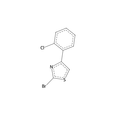 Clc1ccccc1-c1csc(Br)n1